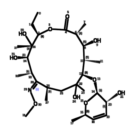 CC[C@H]1OC(=O)[C@H](C)[C@@H](O)[C@H](C)[C@@H](O[C@@H]2O[C@H](C)C=C[C@H]2O)C(C)(O)C[C@@H](C)/C(=N\OC)[C@H](C)[C@@H](O)[C@]1(C)O